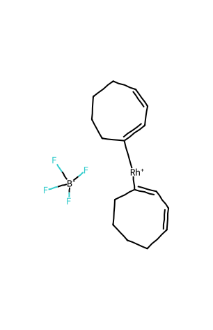 C1=CCCCC[C]([Rh+][C]2=CC=CCCCC2)=C1.F[B-](F)(F)F